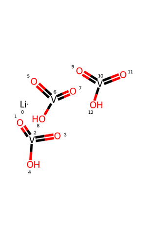 [Li].[O]=[V](=[O])[OH].[O]=[V](=[O])[OH].[O]=[V](=[O])[OH]